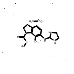 CC(=O)O.Cc1c(NC2NCCN2)ccc2c1N(C(=O)OC(C)(C)C)CC2